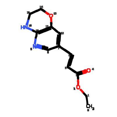 CCOC(=O)/C=C/c1cnc2c(c1)OCCN2